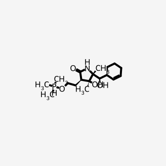 C[C@]1(O)[C@@H](CCO[PH](C)(C)C)C(=O)N[C@]1(C)[C@H](O)[C@@H]1C=CCCC1